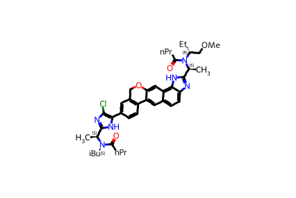 CCCC(=O)N([C@H](CC)COC)[C@@H](C)c1nc2ccc3cc4c(cc3c2[nH]1)OCc1cc(-c2[nH]c([C@H](C)N(C(=O)CCC)[C@@H](C)CC)nc2Cl)ccc1-4